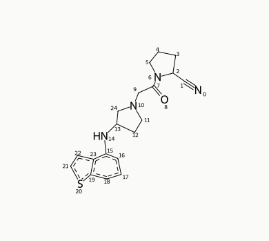 N#CC1CCCN1C(=O)CN1CCC(Nc2cccc3sccc23)C1